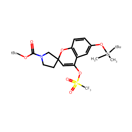 CC(C)(C)OC(=O)N1CCC2(C=C(OS(=O)(=O)C(F)(F)F)c3cc(O[Si](C)(C)C(C)(C)C)ccc3O2)C1